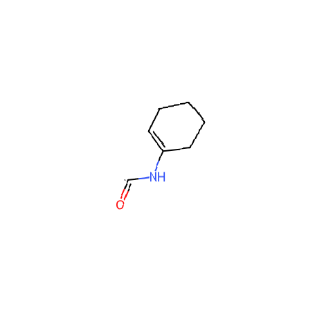 O=[C]NC1=CCCCC1